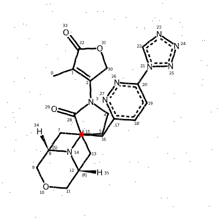 CC1=C(N2CCC3(C[C@H]4COC[C@@H](C3)N4CCc3ccc(-n4cnnn4)nn3)C2=O)COC1=O